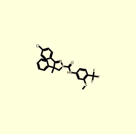 CSc1cc(NC(=O)N2CC(C)(c3ccccc3)C(c3ccc(Cl)cc3)=N2)ccc1C(F)(F)F